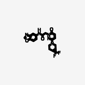 O=C(Cn1nc(N2CCC3C(C2)C3(F)F)ccc1=O)Nc1ccc2ocnc2c1